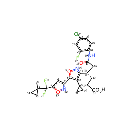 CC1(C(F)(F)c2cc(-c3onc([C@@H](CCC(=O)O)CC(=O)Nc4ccc(Cl)cc4F)c3C3CC3)no2)CC1